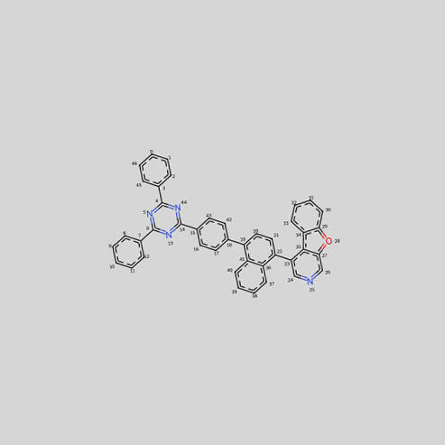 c1ccc(-c2nc(-c3ccccc3)nc(-c3ccc(-c4ccc(-c5cncc6oc7ccccc7c56)c5ccccc45)cc3)n2)cc1